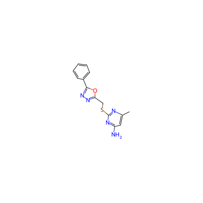 Cc1cc(N)nc(SCc2nnc(-c3ccccc3)o2)n1